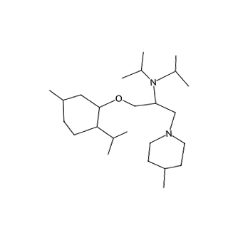 CC1CCN(CC(COC2CC(C)CCC2C(C)C)N(C(C)C)C(C)C)CC1